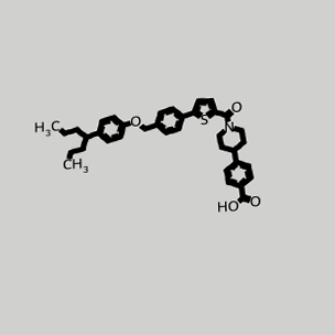 CCCC(CCC)c1ccc(OCc2ccc(-c3ccc(C(=O)N4CCC(c5ccc(C(=O)O)cc5)CC4)s3)cc2)cc1